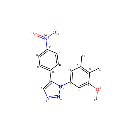 COc1cc(-n2nncc2-c2ccc([N+](=O)[O-])cc2)cc(C)c1C